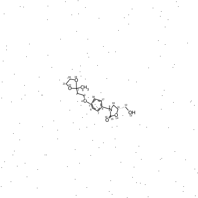 CC1(CCOc2ccc(N3C[C@H](CO)OC3=O)cc2)OCCO1